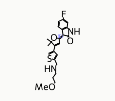 COCCCNCc1cc(C2=C/C(=C3\C(=O)Nc4cc(F)ccc43)OC2(C)C)cs1